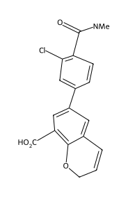 CNC(=O)c1ccc(-c2cc3c(c(C(=O)O)c2)OCC=C3)cc1Cl